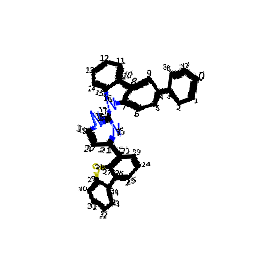 c1ccc(-c2ccc3c(c2)c2ccccc2n3-c2nccc(-c3cccc4c3sc3ccccc34)n2)cc1